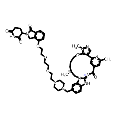 Cc1cc2cc(n1)-c1cnn(C)c1OCCC[C@@H](C)CN1/C(=N/C2=O)Nc2ccc(CN3CCN(CCOCCOCCOc4cccc5c4CN(C4CCC(=O)NC4=O)C5=O)CC3)cc21